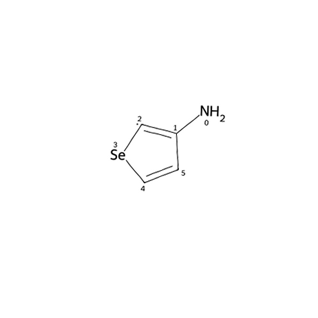 Nc1[c][se]cc1